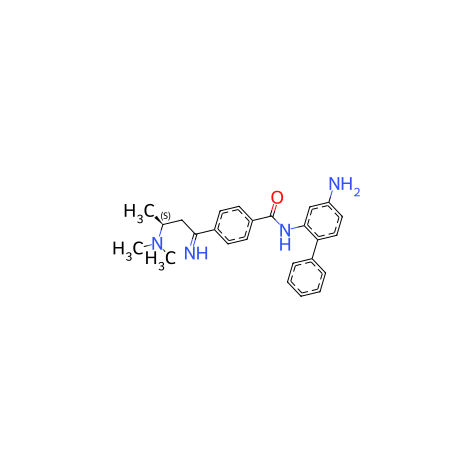 C[C@@H](CC(=N)c1ccc(C(=O)Nc2cc(N)ccc2-c2ccccc2)cc1)N(C)C